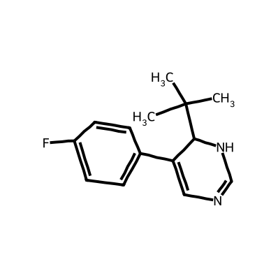 CC(C)(C)C1NC=NC=C1c1ccc(F)cc1